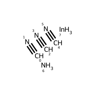 C#N.C#N.C#N.N.[InH3]